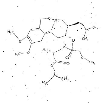 COCP(=O)(N[C@@H](C)C(=O)OC(C)C)O[C@@H]1CC2=C3CC(OC)=C(OC)C=C3CCN2C[C@H]1CC(C)C